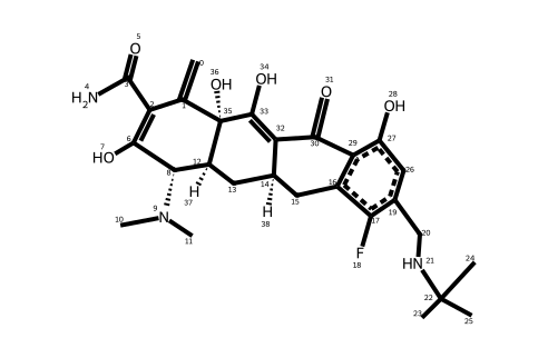 C=C1C(C(N)=O)=C(O)[C@@H](N(C)C)[C@@H]2C[C@@H]3Cc4c(F)c(CNC(C)(C)C)cc(O)c4C(=O)C3=C(O)[C@]12O